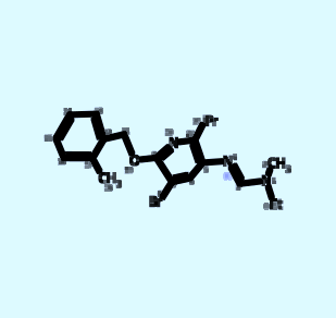 CCN(C)/C=N/c1cc(Br)c(OCc2ccccc2C)nc1C(C)C